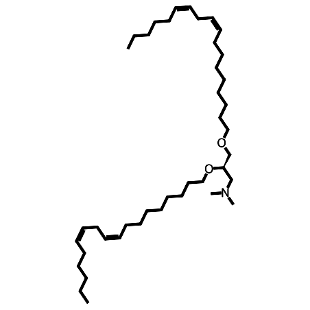 CCCCC/C=C\C/C=C\CCCCCCCCOC[C@@H](CN(C)C)OCCCCCCCC/C=C\C/C=C\CCCCC